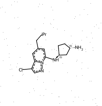 CC(C)Cc1cc(N[C@H]2CC[C@H](N)C2)n2ncc(Cl)c2c1